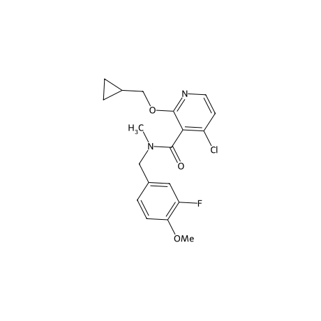 COc1ccc(CN(C)C(=O)c2c(Cl)ccnc2OCC2CC2)cc1F